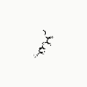 CCOC(=N)C(=O)Oc1nc(N)ns1